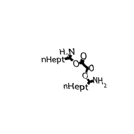 CCCCCCCC(N)OC(=O)C(=O)OC(N)CCCCCCC